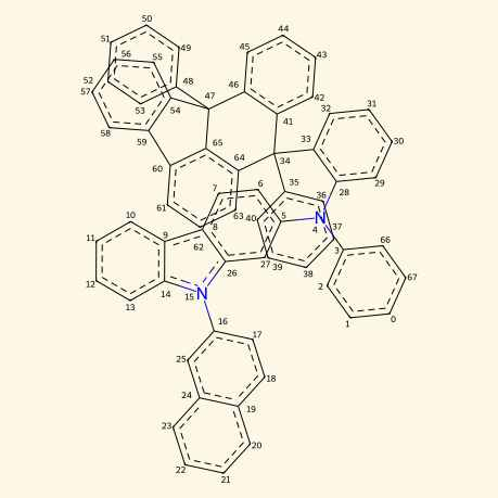 c1ccc(N(c2ccc3c4ccccc4n(-c4ccc5ccccc5c4)c3c2)c2ccccc2C2(c3ccccc3)c3ccccc3C3(c4ccccc4)c4ccccc4-c4cccc2c43)cc1